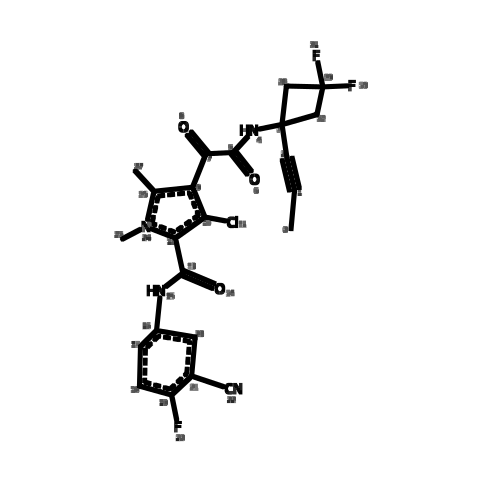 CC#CC1(NC(=O)C(=O)c2c(Cl)c(C(=O)Nc3ccc(F)c(C#N)c3)n(C)c2C)CC(F)(F)C1